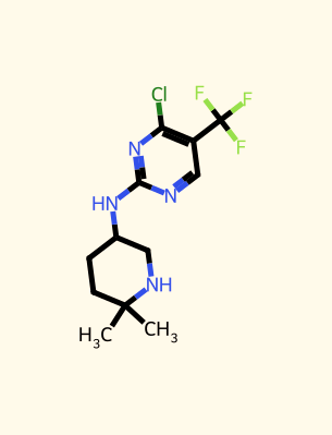 CC1(C)CCC(Nc2ncc(C(F)(F)F)c(Cl)n2)CN1